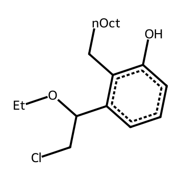 CCCCCCCCCc1c(O)cccc1C(CCl)OCC